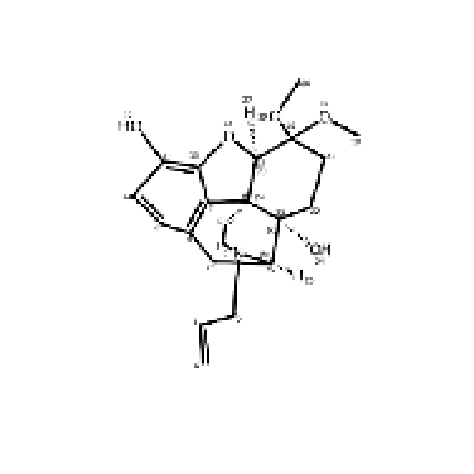 C=CCN1CC[C@]23c4c5ccc(O)c4O[C@H]2C(OC)(OC)CC[C@@]3(O)[C@H]1C5